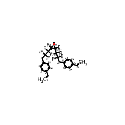 C=Cc1ccc(CC(F)(F)C(F)(OC(F)(C(F)(F)F)C(F)(F)Cc2ccc(C=C)cc2)C(F)(F)F)cc1